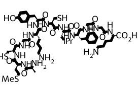 CSCC[C@H](NC(=O)[C@H](C)N)C(=O)N[C@@H](CS)C(=O)NCC(=O)N[C@@H](CCCCN)C(=O)N[C@@H](Cc1ccc(O)cc1)C(=O)N[C@@H](CS)C(=O)N[C@@H](CC(C)C)C(=O)N[C@@H](Cc1ccccc1)C(=O)NCC(=O)NCC(=O)N[C@@H](CCCCN)C(=O)O